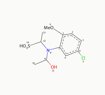 COc1ccc(Cl)cc1N(C(C)O)C(C)S(=O)(=O)O